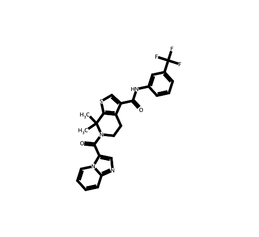 CC1(C)c2scc(C(=O)Nc3cccc(C(F)(F)F)c3)c2CCN1C(=O)c1cnc2ccccn12